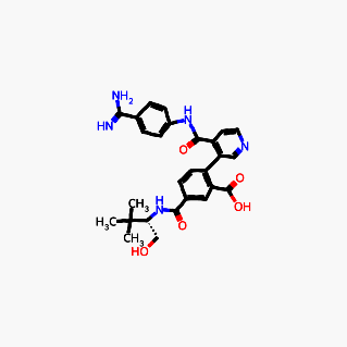 CC(C)(C)[C@@H](CO)NC(=O)c1ccc(-c2cnccc2C(=O)Nc2ccc(C(=N)N)cc2)c(C(=O)O)c1